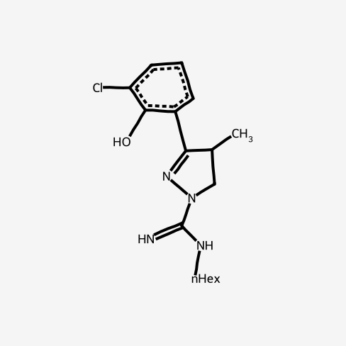 CCCCCCNC(=N)N1CC(C)C(c2cccc(Cl)c2O)=N1